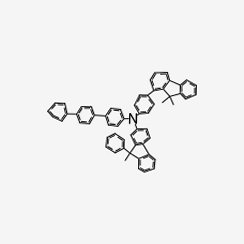 CC1(C)c2ccccc2-c2cccc(-c3ccc(N(c4ccc(-c5ccc(-c6ccccc6)cc5)cc4)c4ccc5c(c4)C(C)(c4ccccc4)c4ccccc4-5)cc3)c21